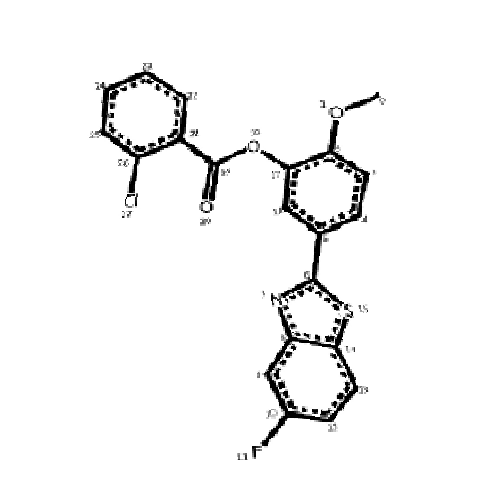 COc1ccc(-c2nc3cc(F)ccc3s2)cc1OC(=O)c1ccccc1Cl